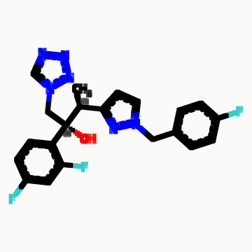 C[C@@H](c1ccn(Cc2ccc(F)cc2)n1)[C@](O)(Cn1cnnn1)c1ccc(F)cc1F